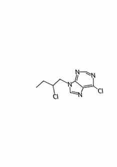 CCC(Cl)Cn1cnc2c(Cl)ncnc21